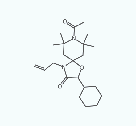 C=CCN1C(=O)C(C2CCCCC2)OC12CC(C)(C)N(C(C)=O)C(C)(C)C2